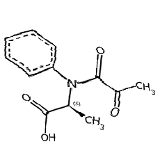 CC(=O)C(=O)N(c1ccccc1)[C@@H](C)C(=O)O